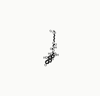 C[C@]12C=CC(=O)C=C1CC[C@H]1[C@@H]3C[C@@H](O)[C@](O)(C(=O)COC(=O)NCC(=O)OCCCCCCO[N+](=O)[O-])[C@@]3(C)C[C@H](O)[C@@]12F